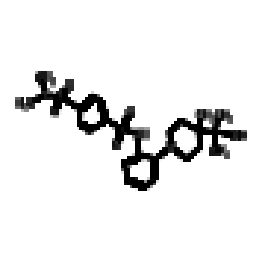 CN(C)S(=O)(=O)c1ccc(S(=O)(=O)Nc2ccccc2N2CCC(C)(C(C)(C)O)CC2)cc1